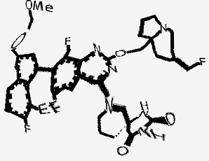 CCc1c(F)ccc2cc(OCOC)cc(-c3c(F)cc4c(N5CCC[C@]6(C5)NC(=O)NC6=O)nc(OCC56CCCN5C/C(=C\F)C6)nc4c3F)c12